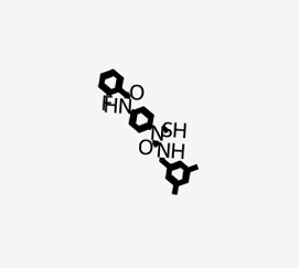 Cc1cc(C)cc(CNC(=O)N(S)c2ccc(NC(=O)c3ccccc3F)cc2)c1